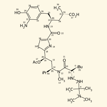 CC[C@H](C)[C@H](NNC(C)(C)N(C)C)C(=O)N(C)[C@H](C[C@@H](OC(C)=O)c1nc(C(=O)N[C@@H](Cc2ccc(O)c(N)c2)C[C@H](C)C(=O)O)cs1)C(C)C